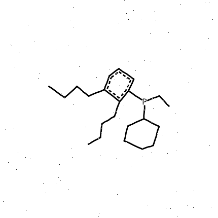 CCCCc1cccc(P(CC)C2CCCCC2)c1CCCC